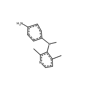 Cc1ccnc(C)c1N(C)c1ccc(N)cc1